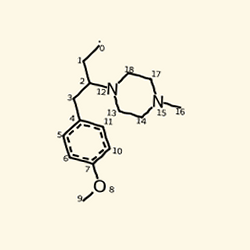 [CH2]CC(Cc1ccc(OC)cc1)N1CCN(C)CC1